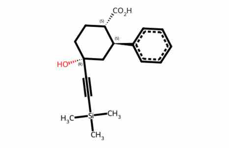 C[Si](C)(C)C#C[C@@]1(O)CC[C@H](C(=O)O)[C@@H](c2ccccc2)C1